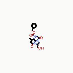 Cc1cc(=O)n2c3c1N(C(=O)OCc1ccccc1)CC(=O)N3C[C@H]2CO